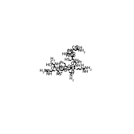 CC(C)C[C@H](NC(=O)[C@H](CS)NC(=O)[C@H](CCCNC(=N)N)NC(=O)[C@@H](N)[C@@H](C)O)C(=O)N[C@@H](CC(N)=O)C(=O)N[C@@H](CCCNC(=N)N)C(=O)N[C@H](C(=O)N[C@@H](CS)C(=O)N[C@H](C(=O)N[C@@H](CC(N)=O)C(=O)O)[C@@H](C)O)C(C)C